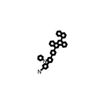 N#Cc1ccc2c3ccc(-c4ccc(-c5cc6c7ccccc7c(-c7cccc8ccccc78)cc6c6ccccc56)cc4)cc3n(-c3ccccc3)c2c1